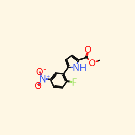 COC(=O)c1ccc(-c2cc([N+](=O)[O-])ccc2F)[nH]1